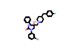 CC(=O)c1cccc(N(C[C@](O)(Cc2ccccc2)CN2CCC(Cc3ccc(F)cc3)CC2)C(N)=O)c1